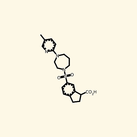 Cc1ccc(N2CCCN(S(=O)(=O)c3ccc4c(c3)C(C(=O)O)CC4)CC2)nc1